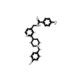 O=C(NCc1ccnc(C2CCN(Cc3ccc(F)cc3)CC2)c1)c1ccc(Cl)cc1